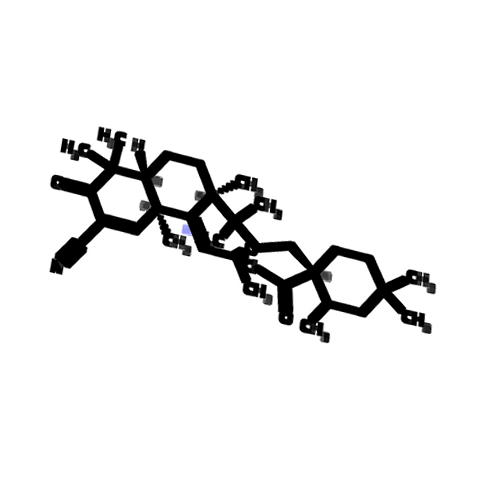 CC(=O)/C=C1/[C@@]2(C)C=C(C#N)C(=O)C(C)(C)[C@@H]2CC[C@@]1(C)C(C)(C)CC[C@@]1(C(=O)Cl)CCC(C)(C)CC1C